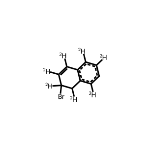 [2H]C1=C([2H])C([2H])(Br)C([2H])c2c([2H])cc([2H])c([2H])c21